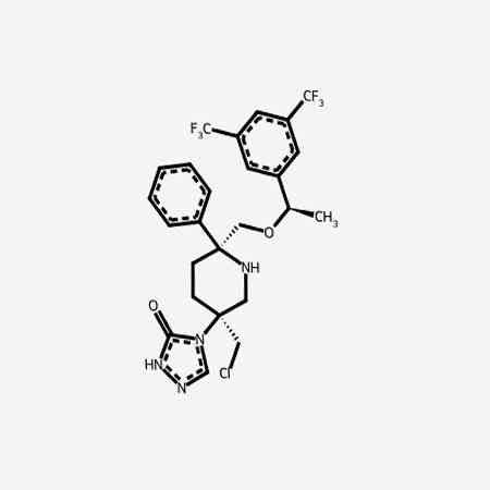 C[C@@H](OC[C@@]1(c2ccccc2)CC[C@](CCl)(n2cn[nH]c2=O)CN1)c1cc(C(F)(F)F)cc(C(F)(F)F)c1